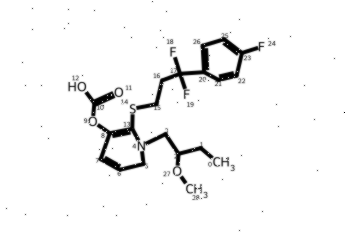 CCC(CN1CC=CC(OC(=O)O)=C1SCCC(F)(F)c1ccc(F)cc1)OC